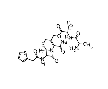 C[C@H](N)C(=O)N[C@@H](C)C(=O)OCC1=C([C](=O)[Na])N2C(=O)[C@@H](NC(=O)Cc3cccs3)[C@H]2SC1